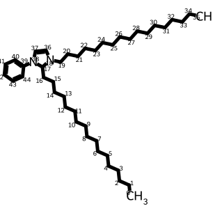 CCCCCCCCCCCCCCCCCC1N(CCCCCCCCCCCCCCCCC)C=CN1c1ccccc1